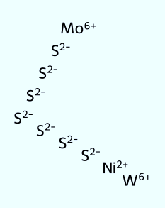 [Mo+6].[Ni+2].[S-2].[S-2].[S-2].[S-2].[S-2].[S-2].[S-2].[W+6]